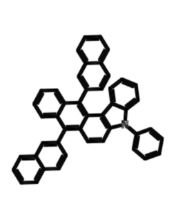 c1ccc(-n2c3ccccc3c3c4c(-c5ccc6ccccc6c5)c5ccccc5c(-c5ccc6ccccc6c5)c4ccc32)cc1